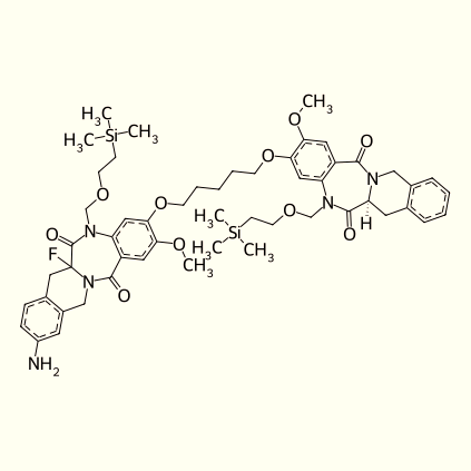 COc1cc2c(cc1OCCCCCOc1cc3c(cc1OC)C(=O)N1Cc4cc(N)ccc4CC1(F)C(=O)N3COCC[Si](C)(C)C)N(COCC[Si](C)(C)C)C(=O)[C@@H]1Cc3ccccc3CN1C2=O